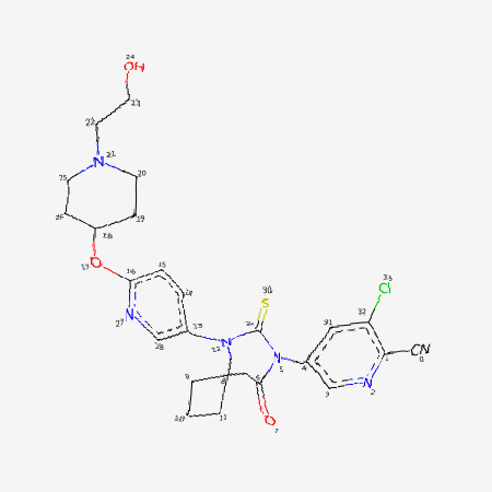 N#Cc1ncc(N2C(=O)C3(CCC3)N(c3ccc(OC4CCN(CCO)CC4)nc3)C2=S)cc1Cl